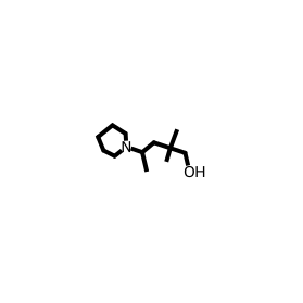 CC(CC(C)(C)CO)N1CCCCC1